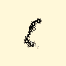 NC(=S)Nc1cccc(OCCCCCN2CCN(c3ccc(Cc4ccccc4)cc3)C2=O)c1